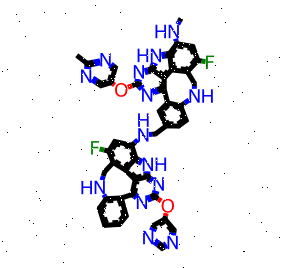 CNc1cc(F)c2c3c1[nH]c1nc(Oc4cnc(C)nc4)nc(c13)-c1cc(CNc3cc(F)c4c5c3[nH]c3nc(Oc6cncnc6)nc(c35)-c3ccccc3NC4)ccc1NC2